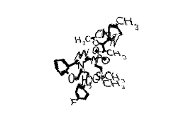 Cc1cnc(C(OC(C)C)C(C)S(=O)(=O)N(CC[Si](C)(C)C)c2nnc3n2[C@@H](COc2ccc(F)cc2)COc2ccccc2-3)nc1